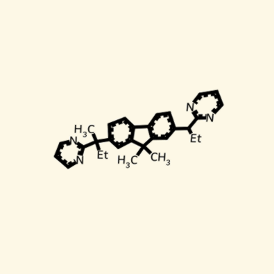 CCC(c1ccc2c(c1)C(C)(C)c1cc(C(C)(CC)c3ncccn3)ccc1-2)c1ncccn1